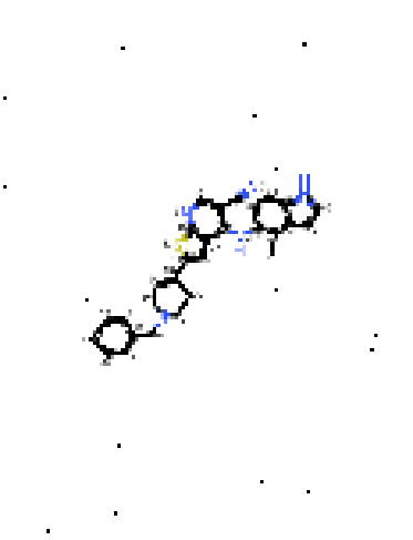 Cc1c(Nc2c(C#N)cnc3sc(C4=CCN(Cc5ccccc5)CC4)cc23)ccc2[nH]ccc12